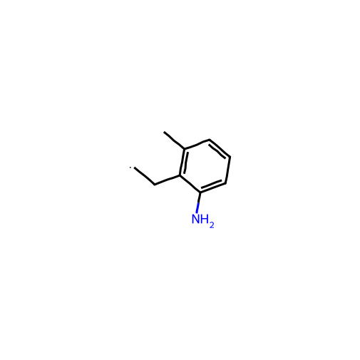 [CH2]Cc1c(C)cccc1N